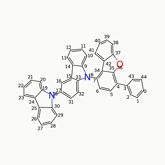 c1ccc(-c2ccc(-n3c4ccccc4c4cc(-n5c6ccccc6c6ccccc65)ccc43)c3c2oc2ccccc23)cc1